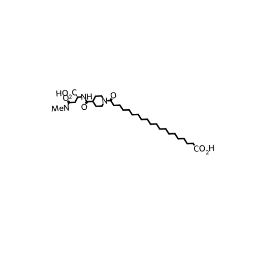 CNC(=O)C[C@@H](NC(=O)C1CCN(C(=O)CCCCCCCCCCCCCCCCCCC(=O)O)CC1)C(=O)O